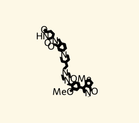 COc1cc(-c2cn(C)c(=O)c3c2CCC3)cc(OC)c1CN1CCN(CCC2CCN(c3ccc4c(c3)C(=O)N(C3CCC(=O)NC3=O)C4)CC2)CC1